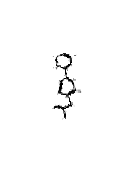 C=C(C)Cc1ccc(-c2ccccn2)cc1